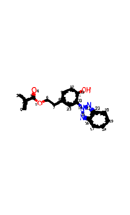 C=C(C)C(=O)OCCc1ccc(O)c(-n2nc3ccccc3n2)c1